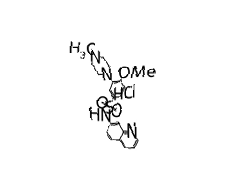 COc1ccc(S(=O)(=O)Nc2ccc3cccnc3c2)cc1N1CCN(C)CC1.Cl